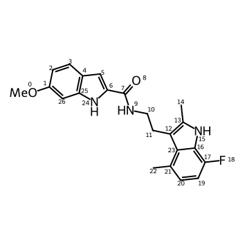 COc1ccc2cc(C(=O)NCCc3c(C)[nH]c4c(F)ccc(C)c34)[nH]c2c1